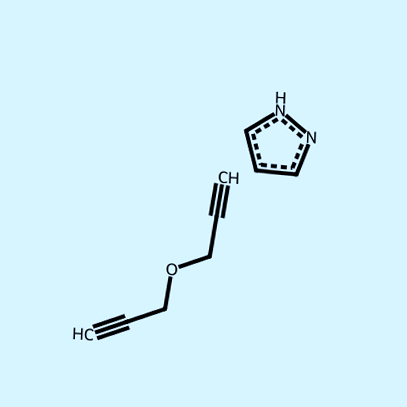 C#CCOCC#C.c1cn[nH]c1